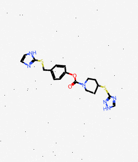 O=C(Oc1ccc(CSc2ncc[nH]2)cc1)N1CCC(Sc2nc[nH]n2)CC1